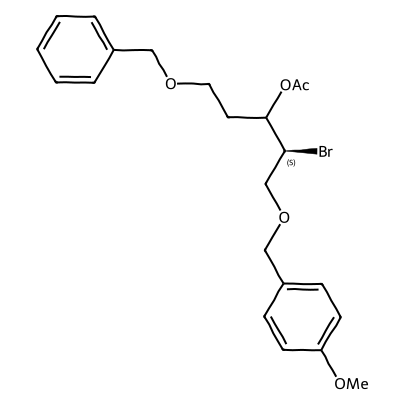 COc1ccc(COC[C@H](Br)C(CCOCc2ccccc2)OC(C)=O)cc1